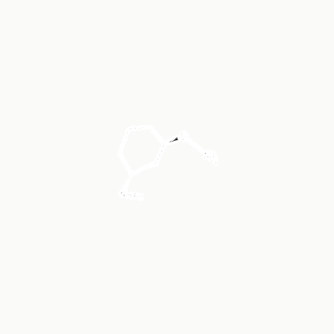 CC(=O)N[C@@H]1CCC[C@@H](ON)C1